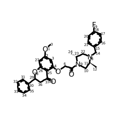 COc1cc(OCC(=O)N2C[C@H](C)N(Cc3ccc(F)cc3)C[C@H]2C)c2c(c1)OC(c1ccccc1)CC2=O